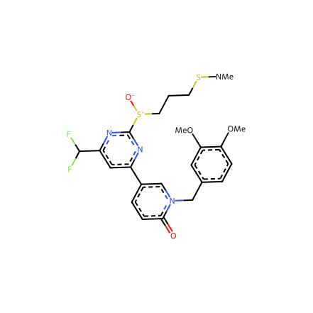 CNSCCC[S+]([O-])c1nc(-c2ccc(=O)n(Cc3ccc(OC)c(OC)c3)c2)cc(C(F)F)n1